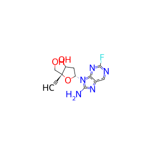 C#C[C@]1(CO)O[C@@H](n2c(N)nc3cnc(F)nc32)CC1O